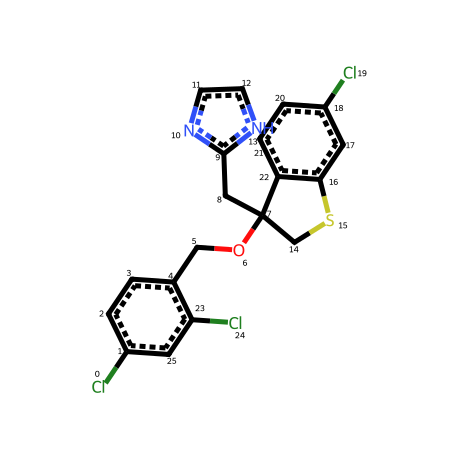 Clc1ccc(COC2(Cc3ncc[nH]3)CSc3cc(Cl)ccc32)c(Cl)c1